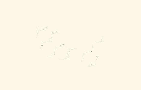 CCOC(=O)C(C)Oc1ncccc1Oc1cc(-n2c(=O)cc(C(F)(F)F)[nH]c2=O)c(F)cc1Cl